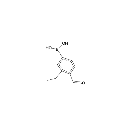 CCc1cc(B(O)O)ccc1C=O